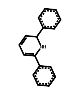 C1=C[C](c2ccccc2)NC(c2ccccc2)=C1